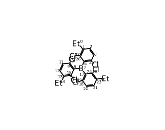 CCc1ccc(Cl)c(B(c2c(Cl)ccc(CC)c2Cl)c2c(Cl)ccc(CC)c2Cl)c1Cl